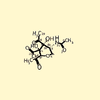 CC(=O)N[C@@H]1[CH]OC(C(C)=O)[C@](O)(C(C)=O)[C@@]1(O)C(C)=O